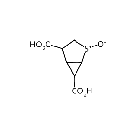 O=C(O)C1C[S+]([O-])C2C(C(=O)O)C12